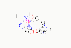 CCc1ccncc1-c1c2c3cc(ccc3n1CC)-c1cccc(c1)C[C@H](NC(=O)[C@H](C(C)C)N(C)C(=O)CCN=C=Nc1ccc(OC)cc1C)C(=O)N1CCC[C@H](N1)C(=O)OCC(C)(C)C2